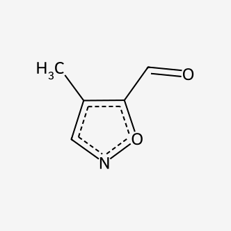 Cc1cnoc1C=O